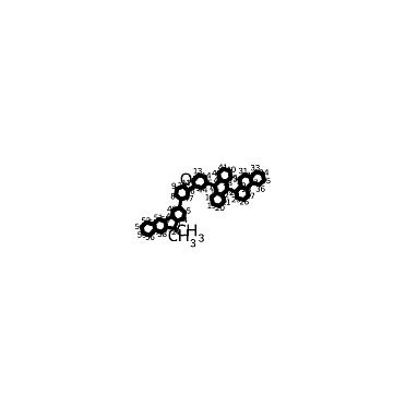 CC1(C)c2ccc(-c3ccc4oc5ccc(-c6c7ccccc7c(-c7cccc8c7ccc7ccccc78)c7ccccc67)cc5c4c3)cc2-c2cc3ccccc3cc21